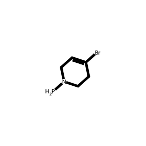 PN1CC=C(Br)CC1